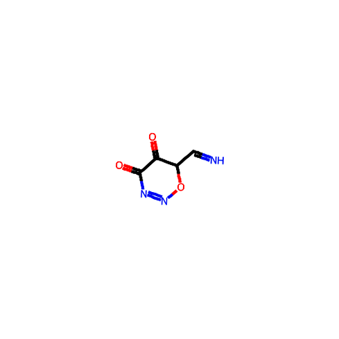 N=CC1ON=NC(=O)C1=O